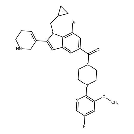 COc1cc(F)cnc1N1CCN(C(=O)c2cc(Br)c3c(c2)cc(C2=CCCNC2)n3CC2CC2)CC1